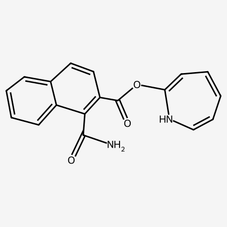 NC(=O)c1c(C(=O)OC2=CC=CC=CN2)ccc2ccccc12